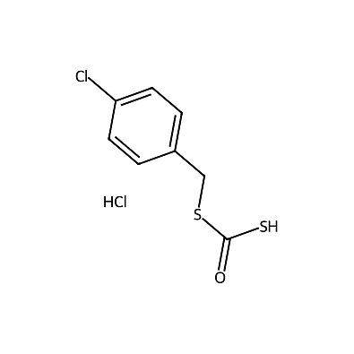 Cl.O=C(S)SCc1ccc(Cl)cc1